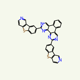 c1ccc2c(c1)c1cnc(-c3ccc4sc5ccncc5c4c3)nc1c1nc(-c3ccc4sc5ccncc5c4c3)ncc21